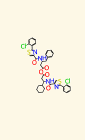 O=C(CC(Cc1ccccc1)NC(=O)c1csc(-c2ccccc2Cl)n1)OC(=O)CC(NC(=O)c1csc(-c2ccccc2Cl)n1)C1CCCCC1